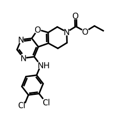 CCOC(=O)N1CCc2c(oc3ncnc(Nc4ccc(Cl)c(Cl)c4)c23)C1